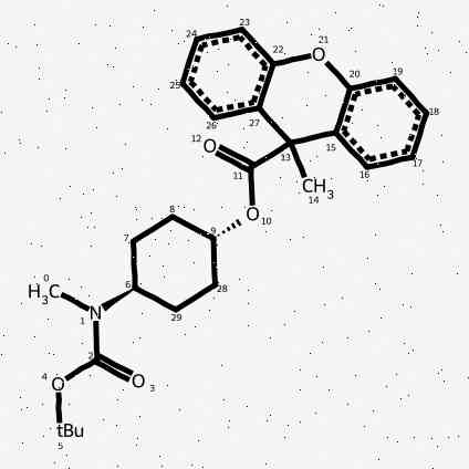 CN(C(=O)OC(C)(C)C)[C@H]1CC[C@H](OC(=O)C2(C)c3ccccc3Oc3ccccc32)CC1